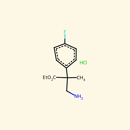 CCOC(=O)C(C)(CN)c1ccc(F)cc1.Cl